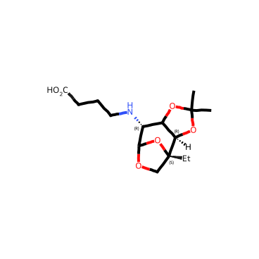 CC[C@@]12COC(O1)[C@H](NCCCC(=O)O)C1OC(C)(C)O[C@H]12